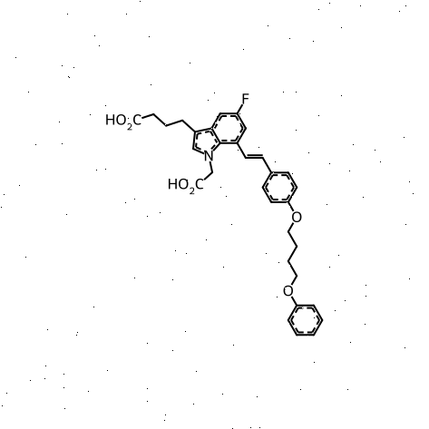 O=C(O)CCCc1cn(CC(=O)O)c2c(/C=C/c3ccc(OCCCCOc4ccccc4)cc3)cc(F)cc12